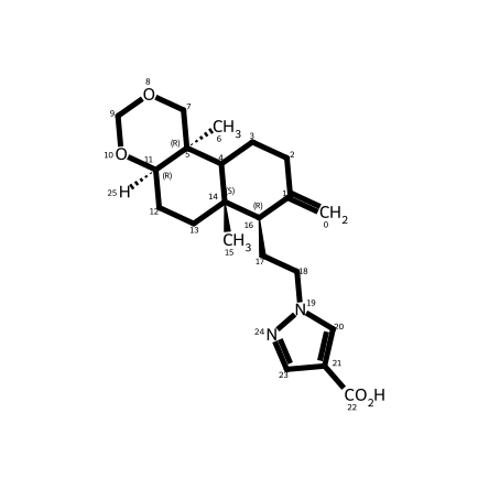 C=C1CCC2[C@]3(C)COCO[C@@H]3CC[C@@]2(C)[C@@H]1CCn1cc(C(=O)O)cn1